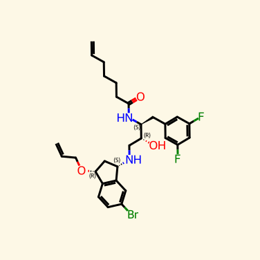 C=CCCCCC(=O)N[C@@H](Cc1cc(F)cc(F)c1)[C@H](O)CN[C@H]1C[C@@H](OCC=C)c2ccc(Br)cc21